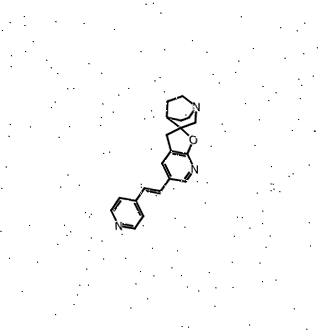 C(=Cc1cnc2c(c1)CC1(CN3CCC1CC3)O2)c1ccncc1